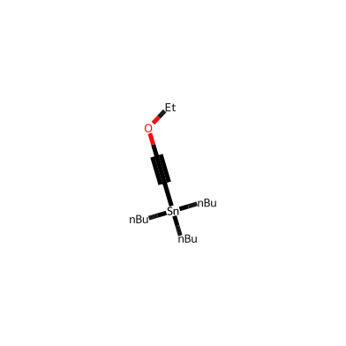 CCC[CH2][Sn]([C]#COCC)([CH2]CCC)[CH2]CCC